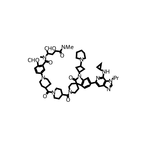 CNC(=O)CCC(C=O)N(C)C(=O)c1cc(N2CCC(C(=O)N3CCC(C(=O)N4CCC5(CC4)C(=O)N(C4CC(N6CCCCC6)C4)c4cc(-c6cc7ncn(C(C)C)c7c(NC7CC7)n6)ccc45)CC3)CC2)ccc1C=O